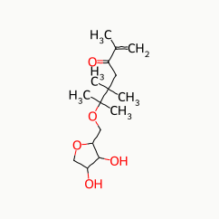 C=C(C)C(=O)CC(C)(C)C(C)(C)OCC1OCC(O)C1O